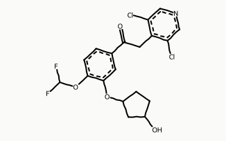 O=C(Cc1c(Cl)cncc1Cl)c1ccc(OC(F)F)c(OC2CCC(O)C2)c1